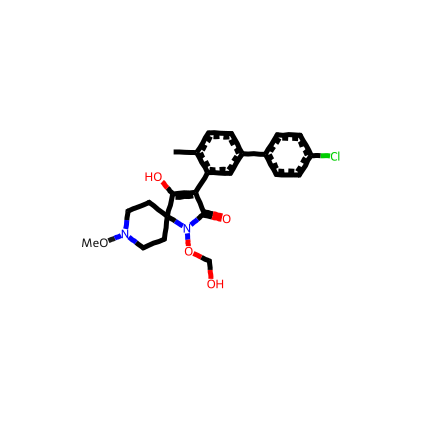 CON1CCC2(CC1)C(O)=C(c1cc(-c3ccc(Cl)cc3)ccc1C)C(=O)N2OCO